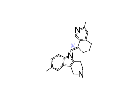 Cc1ccc2c(c1)c1c(n2/C=C2\CCCc3cc(C)ncc32)CCN(C)C1